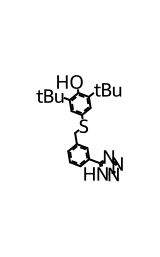 CC(C)(C)c1cc(SCc2cccc(-c3nnn[nH]3)c2)cc(C(C)(C)C)c1O